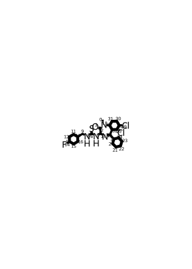 CN1C(=O)C(NC(=S)NCc2ccc(F)cc2)N=C(c2ccccc2Cl)c2cc(Cl)ccc21